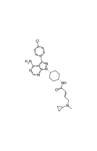 CN(C/C=C/C(=O)N[C@H]1CC[C@@H](n2nc(-c3ccc(Cl)cc3)c3c(N)ncnc32)CC1)C1CC1